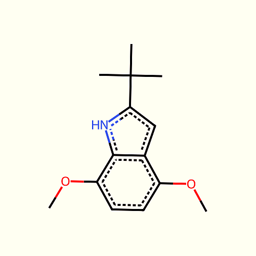 COc1ccc(OC)c2[nH]c(C(C)(C)C)cc12